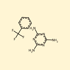 FC(F)(F)c1ccccc1.Nc1nc(N)nc(N)n1